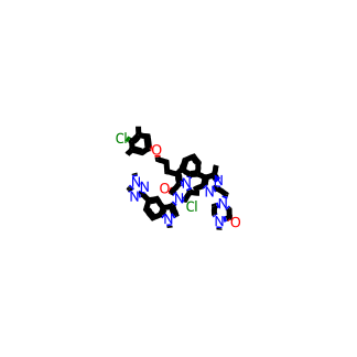 Cc1cc(OCCCc2c3n(c4c(-c5c(C)nc(CN6CCN(C)C(=O)C6)nc5C)cccc24)C(C)[C@@H](Cl)N(c2cn(C)c4ccc(-c5ncn(C)n5)cc24)C3=O)cc(C)c1Cl